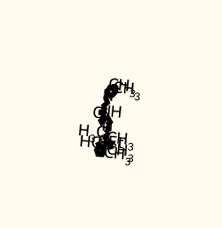 CC/C(C)=C(\O/C(C)=C(\C)CN1CCC(C(=O)NCCCN2CCC(C)(C)CC2)CC1)c1c(C)cccc1O